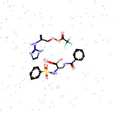 CC(COOC(=O)C(F)(F)F)NC1=NCCN1.O=C(NCC(NS(=O)(=O)c1ccccc1)C(=O)O)c1ccccc1